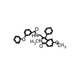 COc1ccc2c(=O)n(C)c(CNC(=O)c3cccc(Oc4ccccc4)c3)c(-c3ccccc3)c2c1